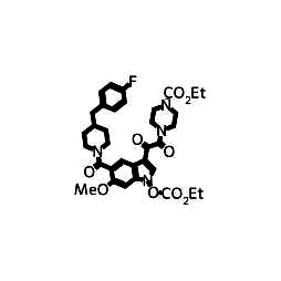 CCOC(=O)On1cc(C(=O)C(=O)N2CCN(C(=O)OCC)CC2)c2cc(C(=O)N3CCC(Cc4ccc(F)cc4)CC3)c(OC)cc21